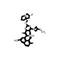 C#Cc1c(F)ccc2cc(O)cc(-c3ncc4c(N5CC(OC)C5)nc(OC[C@@]56CCCN5C[C@H](F)C6)nc4c3F)c12